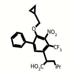 CC(C)CC(C(=O)O)c1cc(-c2ccccc2)c(OCC2CC2)c([N+](=O)[O-])c1C(F)(F)F